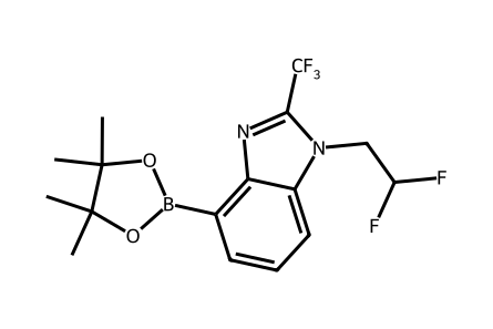 CC1(C)OB(c2cccc3c2nc(C(F)(F)F)n3CC(F)F)OC1(C)C